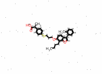 CCCCc1c(OCCCSc2ccc(C(C)C(=O)O)cc2)ccc2c(-c3ccccc3C)coc12